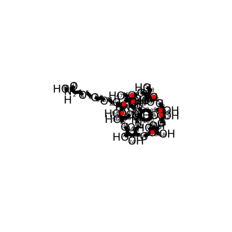 O=C(CCOCCOCCOCCOCCNC(=O)COC1CCCCCc2c1nnn2CC1OC2OC3C(CO)OC(OC4C(CO)OC(OC5C(CO)OC(OC6C(CO)OC(OC7C(CO)OC(OC1C(O)C2O)C(O)C7O)C(O)C6O)C(O)C5O)C(O)C4O)C(O)C3O)NO